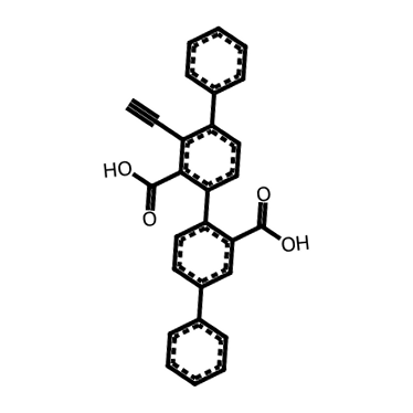 C#Cc1c(-c2ccccc2)ccc(-c2ccc(-c3ccccc3)cc2C(=O)O)c1C(=O)O